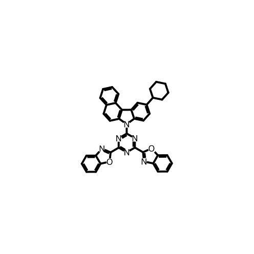 c1ccc2c(c1)ccc1c2c2cc(C3CCCCC3)ccc2n1-c1nc(-c2nc3ccccc3o2)nc(-c2nc3ccccc3o2)n1